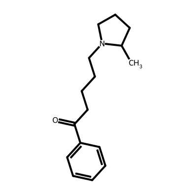 CC1CCCN1CCCCC(=O)c1ccccc1